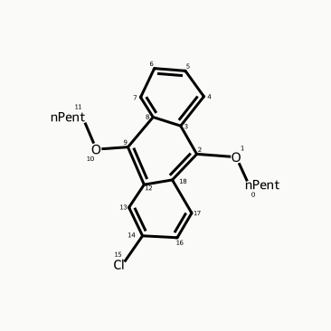 CCCCCOc1c2ccccc2c(OCCCCC)c2cc(Cl)ccc12